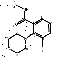 NNC(=O)c1cccc(F)c1N1CCOCC1